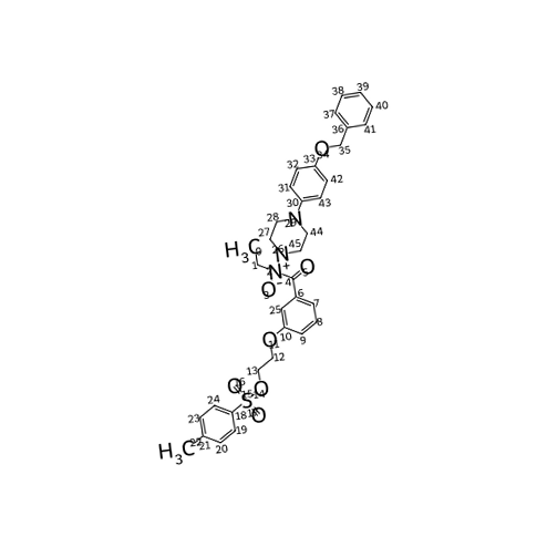 CC[N+]([O-])(C(=O)c1cccc(OCCOS(=O)(=O)c2ccc(C)cc2)c1)N1CCN(c2ccc(OCc3ccccc3)cc2)CC1